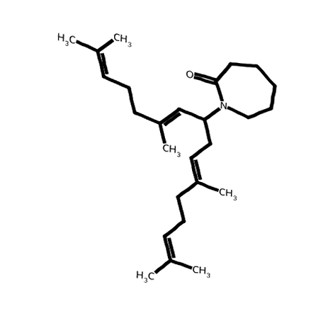 CC(C)=CCC/C(C)=C/CC(/C=C(\C)CCC=C(C)C)N1CCCCCC1=O